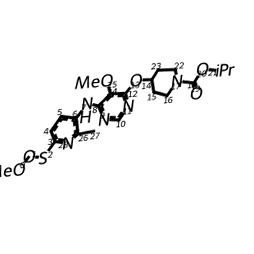 COOSc1ccc(Nc2ncnc(OC3CCN(C(=O)OC(C)C)CC3)c2OC)c(C)n1